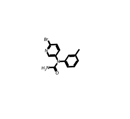 Cc1cccc(N(C(N)=O)c2ccc(Br)nc2)c1